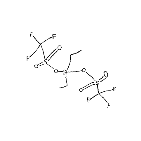 CC[Si](CC)(OS(=O)(=O)C(F)(F)F)OS(=O)(=O)C(F)(F)F